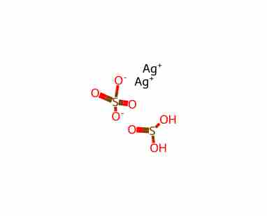 O=S(=O)([O-])[O-].O=S(O)O.[Ag+].[Ag+]